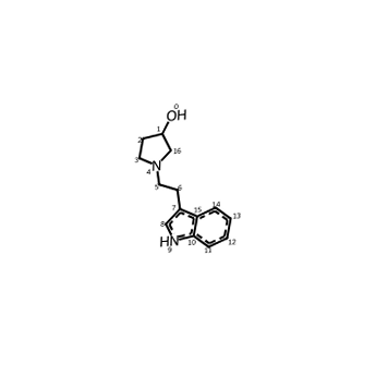 OC1CCN(CCc2c[nH]c3ccccc23)C1